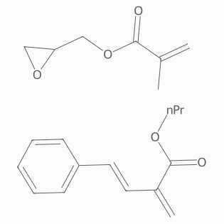 C=C(C)C(=O)OCC1CO1.C=C(C=Cc1ccccc1)C(=O)OCCC